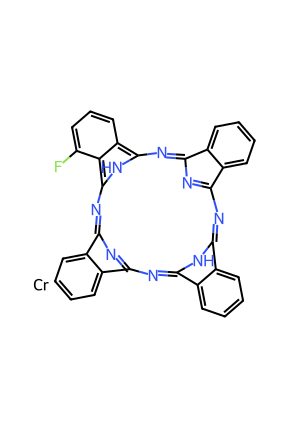 Fc1cccc2c3nc4nc(nc5[nH]c(nc6nc(nc([nH]3)c12)-c1ccccc1-6)c1ccccc51)-c1ccccc1-4.[Cr]